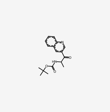 CC(NC(=O)OC(C)(C)C)C(=O)c1cnc2ccccc2c1